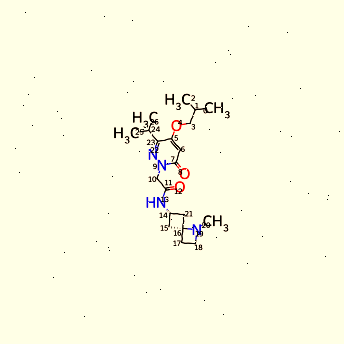 CC(C)COc1cc(=O)n(CC(=O)N[C@H]2C[C@]3(CCN3C)C2)nc1C(C)C